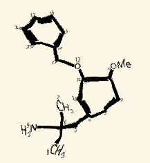 COc1ccc(CC(C)(C)N)cc1OCc1ccccc1